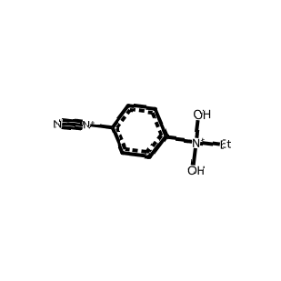 CC[N+](O)(O)c1ccc([N+]#N)cc1